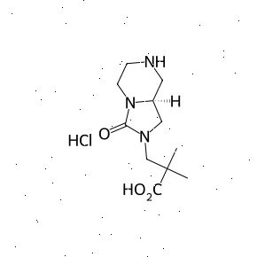 CC(C)(CN1C[C@@H]2CNCCN2C1=O)C(=O)O.Cl